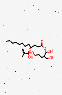 C=C(C)C(=O)O.CCCCCCCCCCCC(=O)O.OCCCC(CO)CO